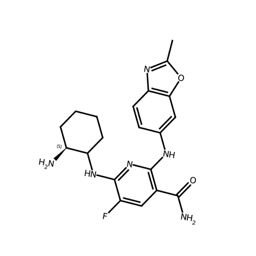 Cc1nc2ccc(Nc3nc(NC4CCCC[C@@H]4N)c(F)cc3C(N)=O)cc2o1